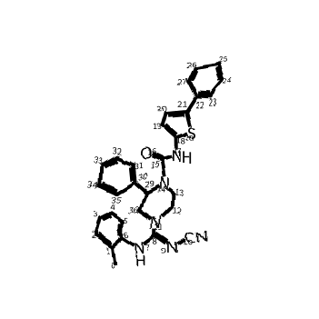 Cc1ccccc1N/C(=N/C#N)N1CCN(C(=O)Nc2ccc(-c3ccccc3)s2)C(c2ccccc2)C1